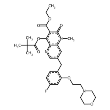 CCOC(=O)c1c(OC(=O)C(C)(C)C)c2ncc(Cc3ccc(F)cc3OCCN3CCOCC3)cc2n(C)c1=O